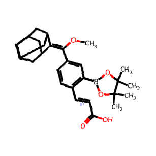 COC(=C1C2CC3CC(C2)CC1C3)c1ccc(/C=C/C(=O)O)c(B2OC(C)(C)C(C)(C)O2)c1